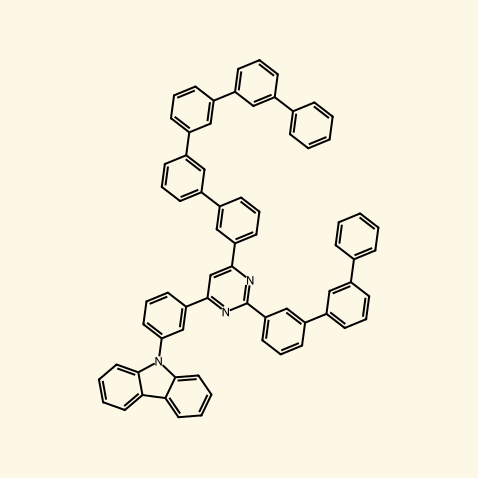 c1ccc(-c2cccc(-c3cccc(-c4cccc(-c5cccc(-c6cc(-c7cccc(-n8c9ccccc9c9ccccc98)c7)nc(-c7cccc(-c8cccc(-c9ccccc9)c8)c7)n6)c5)c4)c3)c2)cc1